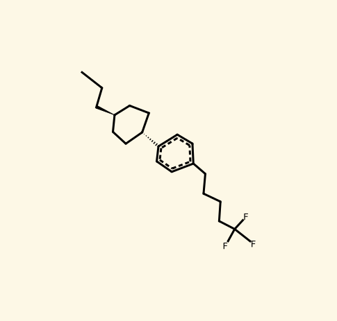 CCC[C@H]1CC[C@H](c2ccc(CCCCC(F)(F)F)cc2)CC1